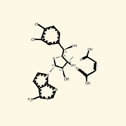 C[C@@]1(O)[C@@H]([C@H](O)c2ccc(Cl)c(Cl)c2)O[C@@H](n2ccc3c(N)ncnc32)[C@@H]1O.O=C(O)/C=C\C(=O)O